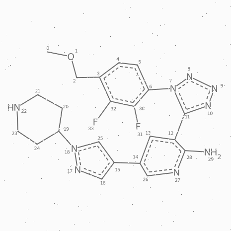 COCc1ccc(-n2nnnc2-c2cc(-c3cnn(C4CCNCC4)c3)cnc2N)c(F)c1F